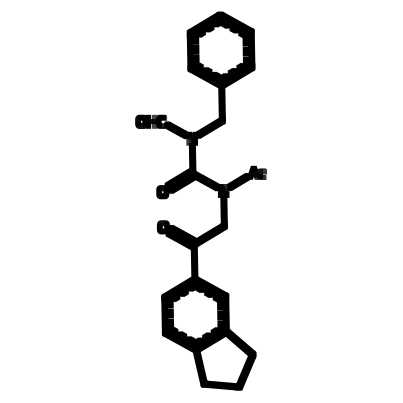 CC(=O)N(CC(=O)c1ccc2c(c1)CCC2)C(=O)N(C=O)Cc1ccccc1